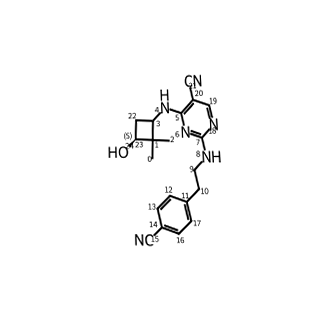 CC1(C)C(Nc2nc(NCCc3ccc(C#N)cc3)ncc2C#N)C[C@@H]1O